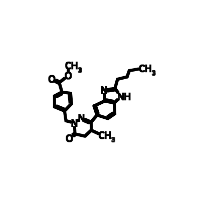 CCCCc1nc2cc(C3=NN(Cc4ccc(C(=O)OC)cc4)C(=O)CC3C)ccc2[nH]1